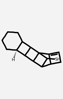 SC1C2C3CC=C3C13C2C1C3C2CCCC[C@@H]21